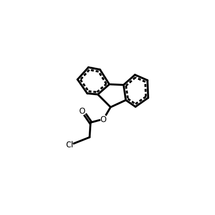 O=C(CCl)OC1c2ccccc2-c2ccccc21